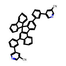 N#Cc1cncc(-c2cccc(-c3ccc4c(c3)C3(c5ccccc5-c5ccccc53)c3cc(-c5cccc(-c6cncc(C#N)c6)c5)c5ccccc5c3-4)c2)c1